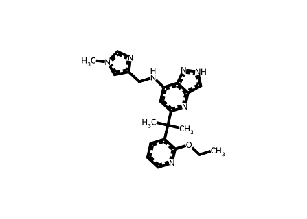 CCOc1ncccc1C(C)(C)c1cc(NCc2cn(C)cn2)c2n[nH]cc2n1